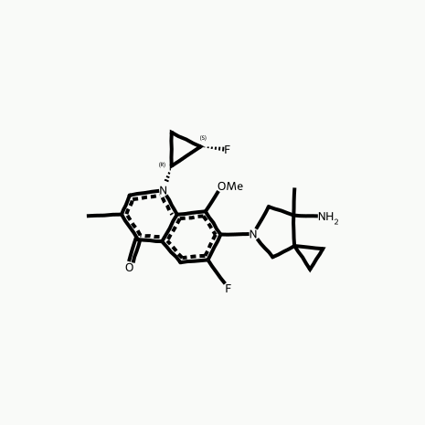 COc1c(N2CC(C)(N)C3(CC3)C2)c(F)cc2c(=O)c(C)cn([C@@H]3C[C@@H]3F)c12